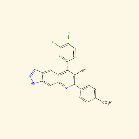 CC(C)c1c(-c2ccc(C(=O)O)cc2)nc2cc3[nH]ncc3cc2c1-c1ccc(F)c(F)c1